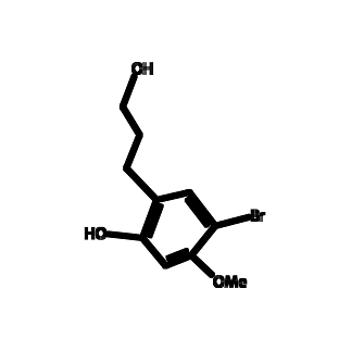 COc1cc(O)c(CCCO)cc1Br